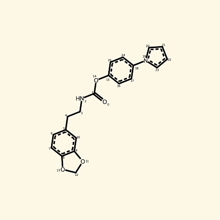 O=C(NCCc1ccc2c(c1)OCO2)Oc1ccc(-n2cccc2)cc1